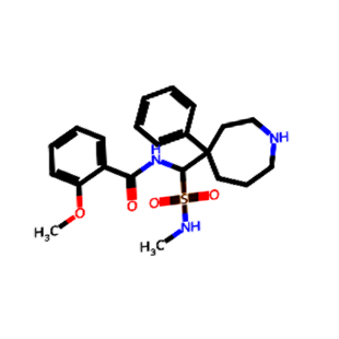 CNS(=O)(=O)C(NC(=O)c1ccccc1OC)C1(c2ccccc2)CCCNCC1